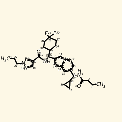 CCCC(=O)N[C@@H](c1cnn2cc([C@@H](NC(=O)c3cnn(CCC)n3)C3CCC(F)(F)CC3)nc2c1)C1CC1